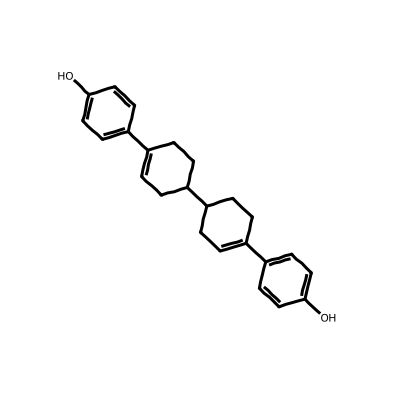 Oc1ccc(C2=CCC(C3CC=C(c4ccc(O)cc4)CC3)CC2)cc1